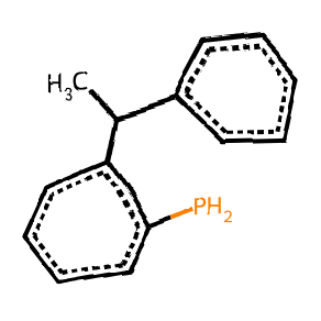 CC(c1ccccc1)c1ccccc1P